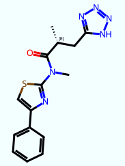 C[C@H](Cc1nnn[nH]1)C(=O)N(C)c1nc(-c2ccccc2)cs1